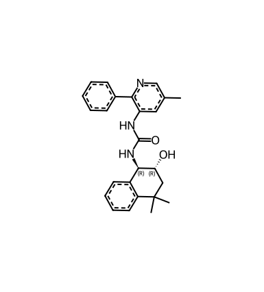 Cc1cnc(-c2ccccc2)c(NC(=O)N[C@@H]2c3ccccc3C(C)(C)C[C@H]2O)c1